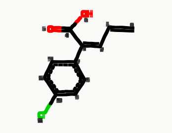 C=CC=C(C(=O)O)c1ccc(Cl)cc1